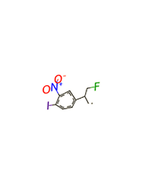 [CH2]C(CF)c1ccc(I)c([N+](=O)[O-])c1